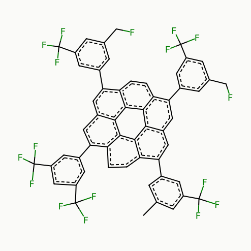 Cc1cc(-c2cc3cc(-c4cc(CF)cc(C(F)(F)F)c4)c4ccc5c(-c6cc(CF)cc(C(F)(F)F)c6)cc6cc(-c7cc(C(F)(F)F)cc(C(F)(F)F)c7)c7ccc2c2c3c4c5c6c72)cc(C(F)(F)F)c1